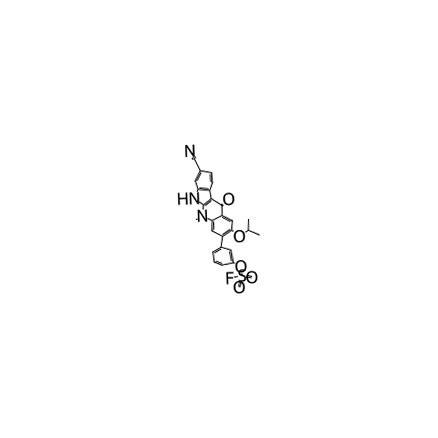 CC(C)Oc1cc2c(=O)c3c4ccc(C#N)cc4[nH]c3n(C)c2cc1-c1cccc(OS(=O)(=O)F)c1